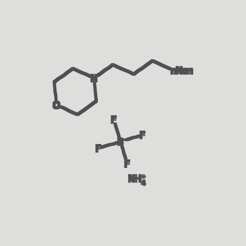 CCCCCCCCCCCCN1CCOCC1.F[B-](F)(F)F.[NH4+]